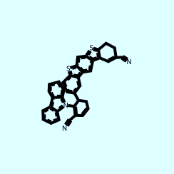 N#CC1=Cc2c(sc3cc4sc5ccc(C6CC=CC(C#N)=C6n6c7ccccc7c7ccccc76)cc5c4cc23)CC1